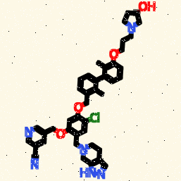 Cc1c(COc2cc(OCc3cncc(C#N)c3)c(CN3CCc4cn[nH]c4C3)cc2Cl)cccc1-c1cccc(OCCCN2CC[C@@H](O)C2)c1C